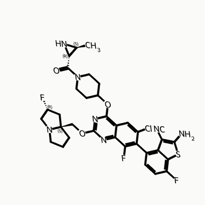 C[C@@H]1N[C@H]1C(=O)N1CCC(Oc2nc(OC[C@@]34CCCN3C[C@H](F)C4)nc3c(F)c(-c4ccc(F)c5sc(N)c(C#N)c45)c(Cl)cc23)CC1